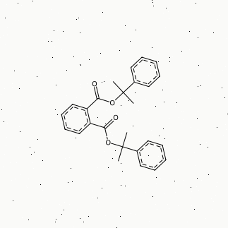 CC(C)(OC(=O)c1ccccc1C(=O)OC(C)(C)c1ccccc1)c1ccccc1